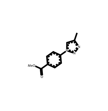 COC(=O)c1ccc(-n2cc(C)nn2)cc1